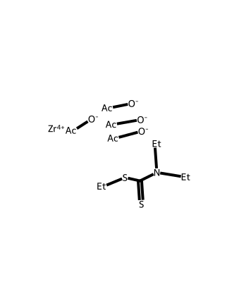 CC(=O)[O-].CC(=O)[O-].CC(=O)[O-].CC(=O)[O-].CCSC(=S)N(CC)CC.[Zr+4]